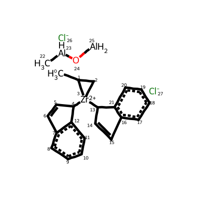 C[CH]1[CH2][Zr+2]1([CH]1C=Cc2ccccc21)[CH]1C=Cc2ccccc21.[CH3][AlH][O][AlH2].[Cl-].[Cl-]